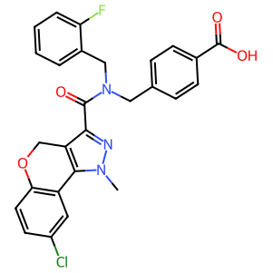 Cn1nc(C(=O)N(Cc2ccc(C(=O)O)cc2)Cc2ccccc2F)c2c1-c1cc(Cl)ccc1OC2